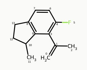 C=C(C)c1c(F)ccc2c1C(C)CC2